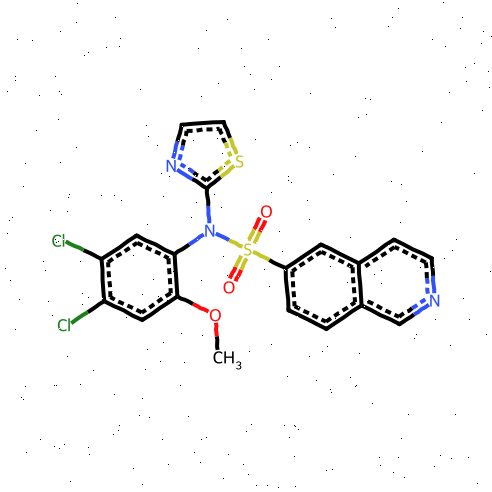 COc1cc(Cl)c(Cl)cc1N(c1nccs1)S(=O)(=O)c1ccc2cnccc2c1